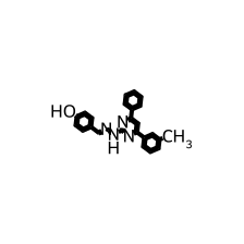 Cc1cccc(-c2cc(-c3ccccc3)nc(NN=Cc3ccc(O)cc3)n2)c1